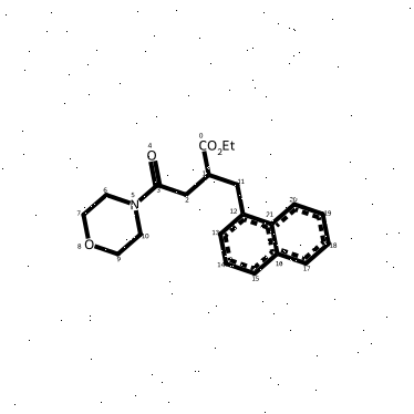 CCOC(=O)C(CC(=O)N1CCOCC1)Cc1cccc2ccccc12